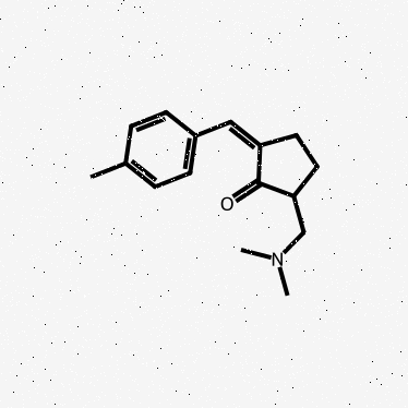 Cc1ccc(C=C2CCC(CN(C)C)C2=O)cc1